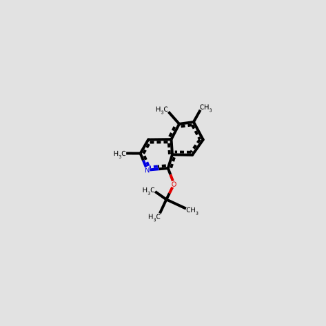 Cc1cc2c(C)c(C)ccc2c(OC(C)(C)C)n1